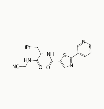 CC(C)CC(NC(=O)c1cnc(-c2cccnc2)s1)C(=O)NCC#N